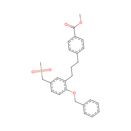 COC(=O)c1ccc(CCCc2cc(CS(C)(=O)=O)ccc2OCc2ccccc2)cc1